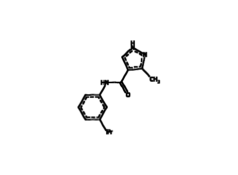 Cc1n[nH]cc1C(=O)Nc1cccc(C(C)C)c1